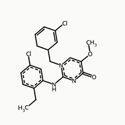 CCc1ccc(Cl)cc1Nc1nc(=O)c(OC)cn1CC1C=C(Cl)C=CC1